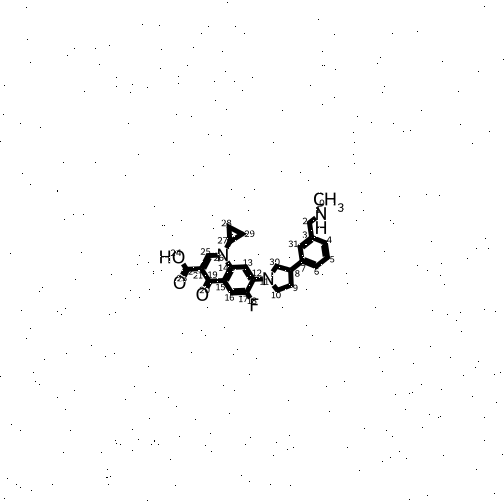 CNCc1cccc(C2CCN(c3cc4c(cc3F)c(=O)c(C(=O)O)cn4C3CC3)C2)c1